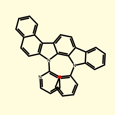 c1ccc(-n2c3ccccc3c3ccc4c5c6ccccc6ccc5n(-c5ccccn5)c4c32)cc1